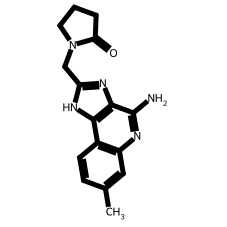 Cc1ccc2c(c1)nc(N)c1nc(CN3CCCC3=O)[nH]c12